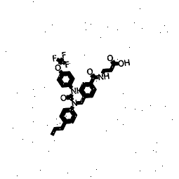 CCCc1ccc(N(Cc2ccc(C(=O)NCCC(=O)O)cc2)C(=O)Nc2ccc(OC(F)(F)F)cc2)cc1